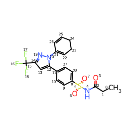 CCC(=O)NS(=O)(=O)c1ccc(-c2cc(C(F)(F)F)nn2C2=CCCC=C2)cc1